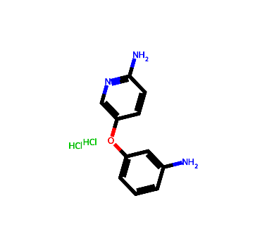 Cl.Cl.Nc1cccc(Oc2ccc(N)nc2)c1